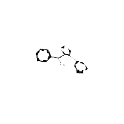 N[C@@H](c1ccccc1)c1n[nH]cc1-c1ccncc1